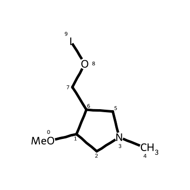 COC1CN(C)CC1COI